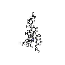 C[C@H]1C[C@H](N2C(=O)C[C@@](C)(c3cccc(Nc4ccc(OC(F)F)nc4)c3Cl)N/C2=N\C(=O)OC(C)(C)C)CCO1